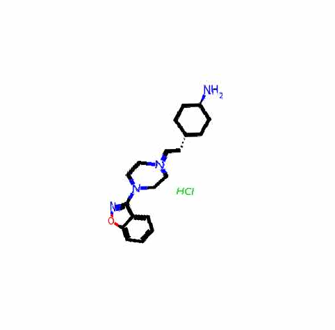 Cl.N[C@H]1CC[C@H](CCN2CCN(c3noc4ccccc34)CC2)CC1